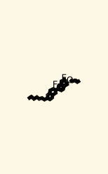 C/C=C/COc1cc2ccc(C3CCC4CC(CCCCCCC)CCC4C3)c(F)c2cc1F